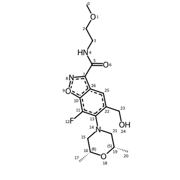 COCCNC(=O)c1noc2c(F)c(N3C[C@@H](C)O[C@@H](C)C3)c(CO)cc12